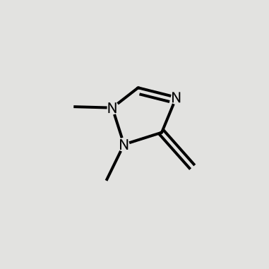 C=C1N=CN(C)N1C